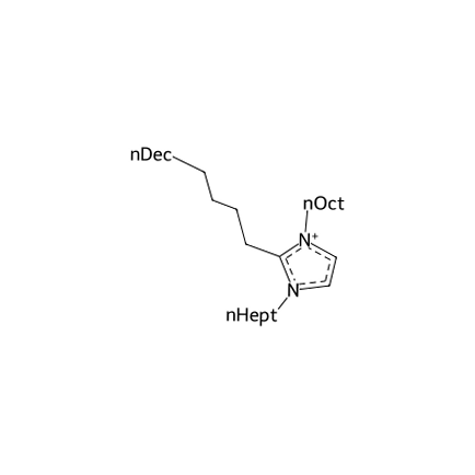 CCCCCCCCCCCCCCc1n(CCCCCCC)cc[n+]1CCCCCCCC